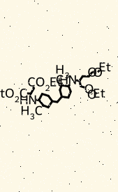 CCOOCCC(COOCC)NC1CCC(CC2CCC(NC(CC(=O)OCC)C(=O)OCC)C(C)C2)CC1C